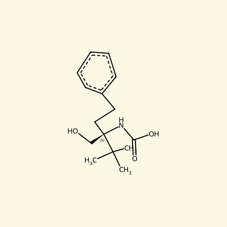 CC(C)(C)[C@](CO)(CCc1ccccc1)NC(=O)O